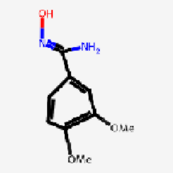 COc1ccc(C(N)=NO)cc1OC